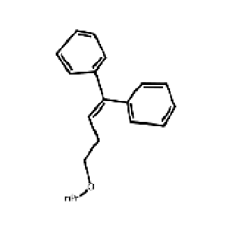 CCCOCCC=C(c1ccccc1)c1ccccc1